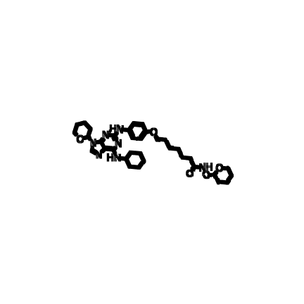 O=C(CCCCCCOc1ccc(Nc2nc(NC3CCCCC3)c3ncn(C4CCCCO4)c3n2)cc1)NOC1CCCCO1